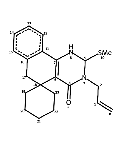 C=CCN1C(=O)C2=C(NC1SC)c1ccccc1CC21CCCCC1